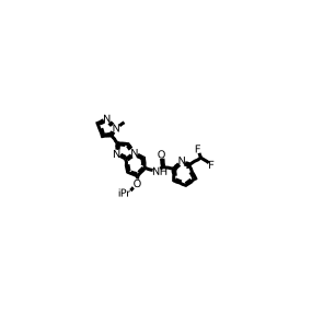 CC(C)Oc1cc2nc(-c3ccnn3C)cn2cc1NC(=O)c1cccc(C(F)F)n1